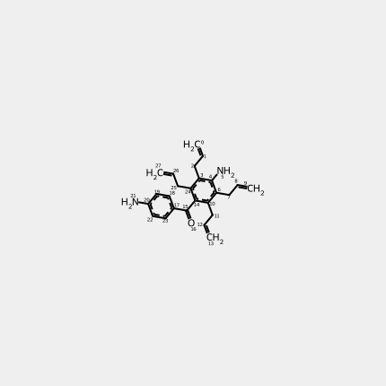 C=CCc1c(N)c(CC=C)c(CC=C)c(C(=O)c2ccc(N)cc2)c1CC=C